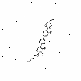 C=CC1COC(c2ccc(-c3ccc(-c4ccc(OCCCCC)c(F)c4F)cc3)cc2F)OC1